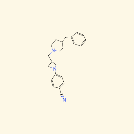 N#Cc1ccc(N2CC(CN3CCC(Cc4ccccc4)CC3)C2)cc1